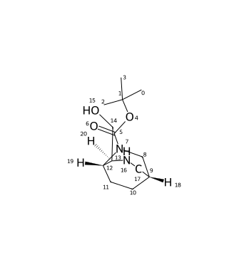 CC(C)(C)OC(=O)N1C[C@@H]2CC[C@H]1[C@@H](CO)NC2